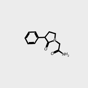 NC(=O)CN1CCC(c2ccccc2)C1=O